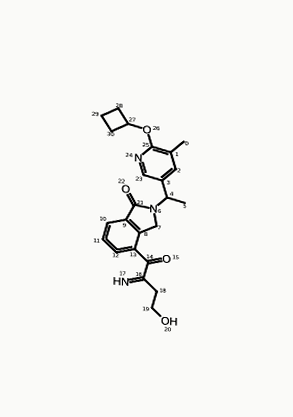 Cc1cc(C(C)N2CC3=C(C=C=C=C3C(=O)C(=N)CCO)C2=O)cnc1OC1CCC1